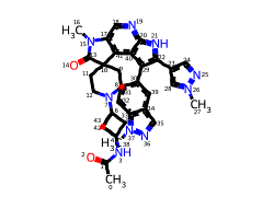 CC(=O)NC12CC(N3CCC4(CC3)C(=O)N(C)c3cnc5[nH]c(-c6cnn(C)c6)c(-c6ccc7c(cnn7C)c6)c5c34)(C1)C2